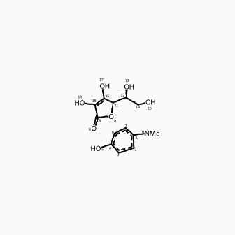 CNc1ccc(O)cc1.O=C1O[C@H]([C@@H](O)CO)C(O)=C1O